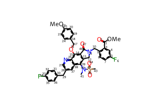 COC(=O)c1cc(F)ccc1CN1Cc2c(c(OCc3ccc(OC)cc3)c3ncc(Cc4ccc(F)cc4)cc3c2N(C)S(C)(=O)=O)C1=O